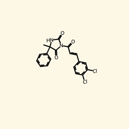 CC1(c2ccccc2)NC(=O)N(C(=O)/C=C/c2ccc(Cl)c(Cl)c2)C1=O